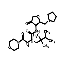 CC(C)C(C)(C)C[C@H](NC(=O)N1CCOCC1)C(=O)NC1C(=O)COC1CN1CCCC1